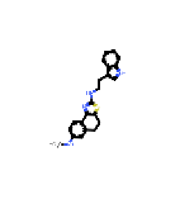 O=C(O)Nc1ccc2c(c1)CCc1sc(NCCc3c[nH]c4ccccc34)nc1-2